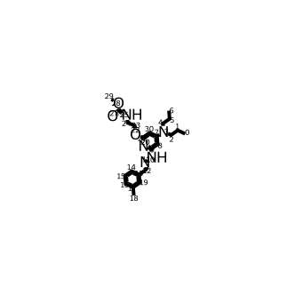 CCCN(CCC)c1cc(N/N=C/c2cccc(C)c2)nc(OCCNC(=O)OC)c1